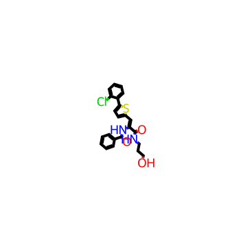 O=C(NCCCO)/C(=C/c1ccc(-c2ccccc2Cl)s1)NC(=O)c1ccccc1